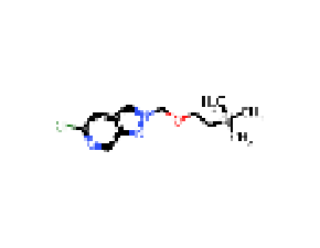 C[Si](C)(C)CCOCn1cc2cc(Cl)ncc2n1